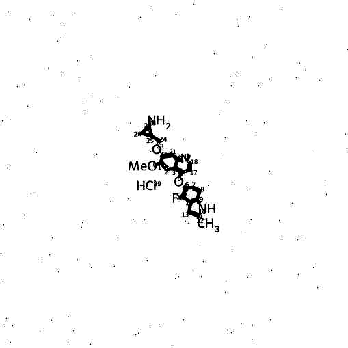 COc1cc2c(Oc3ccc4[nH]c(C)cc4c3F)ccnc2cc1OCC1CC1N.Cl